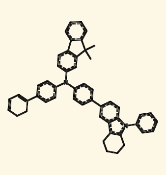 CC1(C)c2ccccc2-c2ccc(N(c3ccc(C4=CC=CCC4)cc3)c3ccc(-c4ccc5c(c4)c4c(n5-c5ccccc5)CCCC4)cc3)cc21